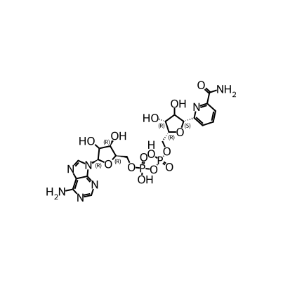 NC(=O)c1cccc([C@@H]2O[C@H](COP(=O)(O)OP(=O)(O)OC[C@H]3O[C@@H](n4cnc5c(N)ncnc54)C(O)[C@H]3O)[C@H](O)C2O)n1